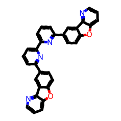 c1cc(-c2ccc3oc4cccnc4c3c2)nc(-c2cccc(-c3ccc4oc5cccnc5c4c3)n2)c1